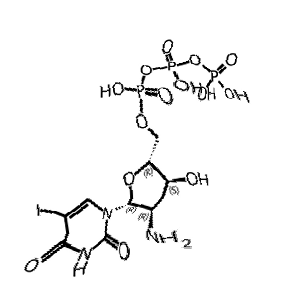 N[C@@H]1[C@H](O)[C@@H](COP(=O)(O)OP(=O)(O)OP(=O)(O)O)O[C@H]1n1cc(I)c(=O)[nH]c1=O